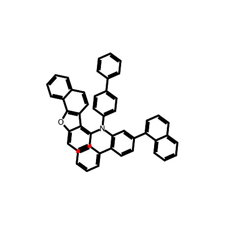 c1ccc(-c2ccc(N(c3cc(-c4cccc5ccccc45)ccc3-c3ccccc3)c3cccc4oc5c6ccccc6ccc5c34)cc2)cc1